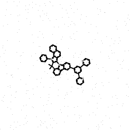 CC1(C)c2cccc3c4cc(-c5cc(-c6ccccn6)cc(-c6ccccn6)c5)ccc4n(c23)-c2c1n(-c1ccccc1)c1c2ccc2ccccc21